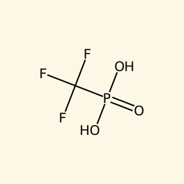 O=P(O)(O)C(F)(F)F